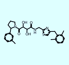 Cc1cccc(C2CCCN2C(=O)C(O)C(O)C(=O)NCc2nc(Cc3c(C)cccc3C)cs2)c1